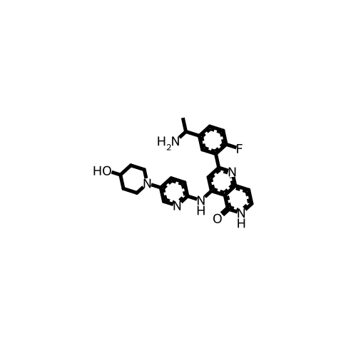 CC(N)c1ccc(F)c(-c2cc(Nc3ccc(N4CCC(O)CC4)cn3)c3c(=O)[nH]ccc3n2)c1